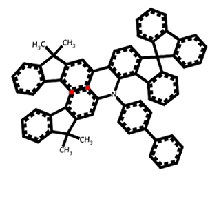 CC1(C)c2ccccc2-c2ccc(-c3ccc4c(c3N(c3ccc(-c5ccccc5)cc3)c3ccc5c(c3)C(C)(C)c3ccccc3-5)-c3ccccc3C43c4ccccc4-c4ccccc43)cc21